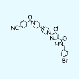 N#Cc1ccc(C(=O)N2CCC(N3CCN(c4ncc(C(=O)NCc5ccc(Br)cc5)cc4Cl)CC3)CC2)cc1